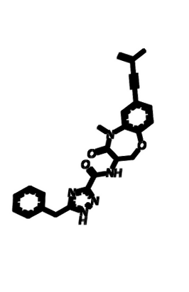 C=C(C)C#Cc1ccc2c(c1)N(C)C(=O)C(NC(=O)c1n[nH]c(Cc3ccccc3)n1)CO2